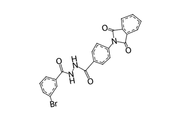 O=C(NNC(=O)c1cccc(Br)c1)c1ccc(N2C(=O)c3ccccc3C2=O)cc1